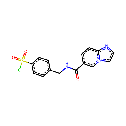 O=C(NCc1ccc(S(=O)(=O)Cl)cc1)c1ccc2nccn2c1